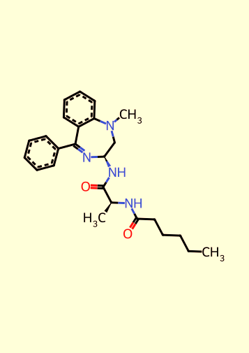 CCCCCC(=O)N[C@@H](C)C(=O)N[C@@H]1CN(C)c2ccccc2C(c2ccccc2)=N1